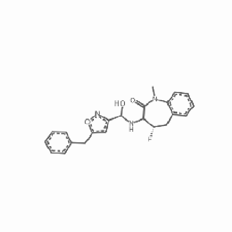 CN1C(=O)C(NC(O)c2cc(Cc3ccccc3)on2)[C@@H](F)Cc2ccccc21